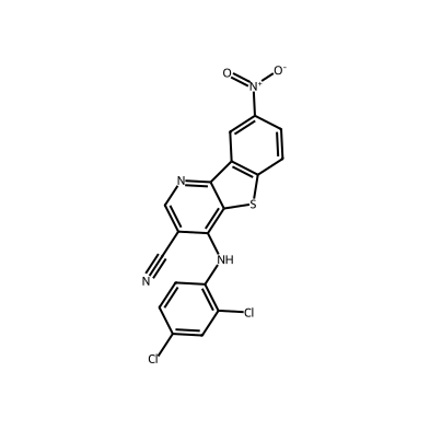 N#Cc1cnc2c(sc3ccc([N+](=O)[O-])cc32)c1Nc1ccc(Cl)cc1Cl